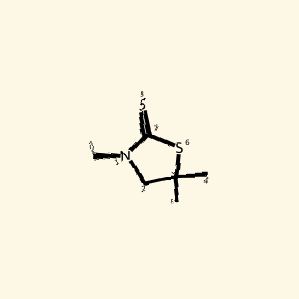 CN1CC(C)(C)SC1=S